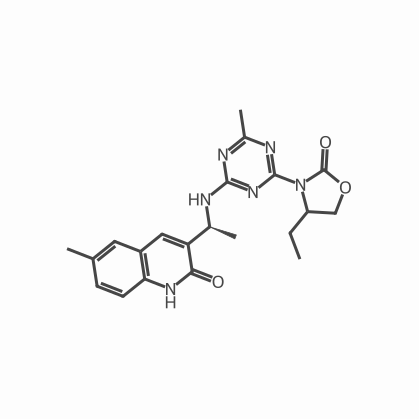 CCC1COC(=O)N1c1nc(C)nc(N[C@@H](C)c2cc3cc(C)ccc3[nH]c2=O)n1